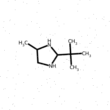 CC1CNC(C(C)(C)C)N1